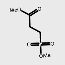 COC(=O)CCS(=O)(=O)OC